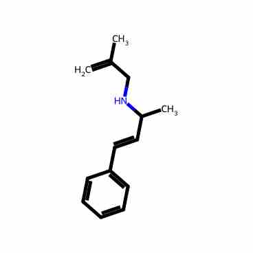 C=C(C)CNC(C)C=Cc1ccccc1